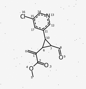 C=C(C(=O)OC)C1C(C=O)C1c1cncc(Cl)c1